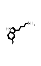 NCCCCc1c[nH]c2ccc(F)cc12